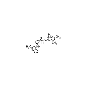 Cc1cc(C)c(CNCCNC(=O)c2cccc(Nc3cc(C)nc4ccccc34)c2)c(C)c1